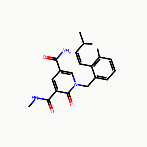 CNC(=O)c1cc(C(N)=O)cn(Cc2cccc(C)c2/C=C\C(C)C)c1=O